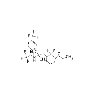 CCNC1CCCC(CC(C)(C)NC(c2ccc(C(F)(F)F)cc2)C(F)(F)F)C1(F)F